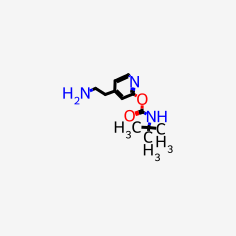 CC(C)(C)NC(=O)Oc1cc(CCN)ccn1